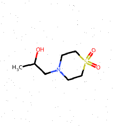 CC(O)CN1CCS(=O)(=O)CC1